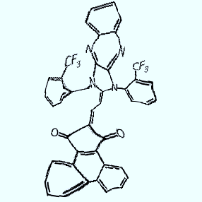 O=C1C(=CC=C2N(c3ccccc3C(F)(F)F)c3nc4ccccc4nc3N2c2ccccc2C(F)(F)F)C(=O)c2c1c1ccccc1c1ccccc21